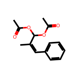 CC(=O)OC(OC(C)=O)C(C)=Cc1ccccc1